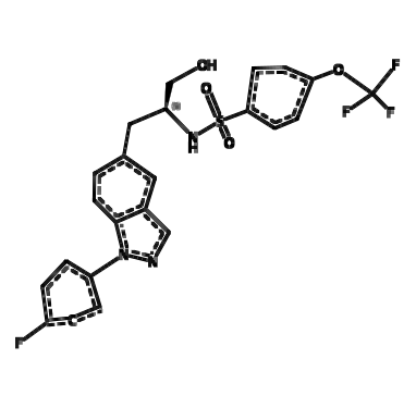 O=S(=O)(N[C@H](CO)Cc1ccc2c(cnn2-c2ccc(F)cc2)c1)c1ccc(OC(F)(F)F)cc1